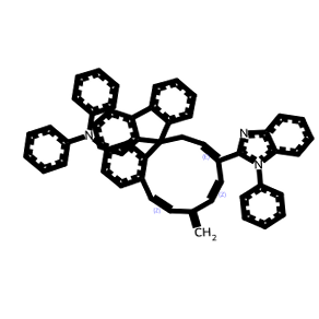 C=C1/C=C\C(c2nc3ccccc3n2-c2ccccc2)=C/CC2(c3cc(N(c4ccccc4)c4ccccc4)ccc3/C=C\1)c1ccccc1-c1ccccc12